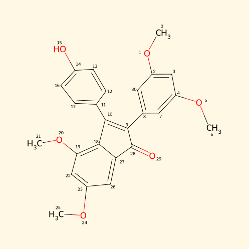 COc1cc(OC)cc(C2=C(c3ccc(O)cc3)c3c(OC)cc(OC)cc3C2=O)c1